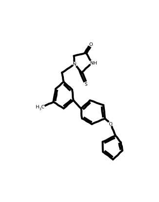 Cc1cc(CN2CC(=O)NC2=S)cc(-c2ccc(Oc3ccccc3)cc2)c1